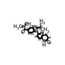 CC(C)c1nc2cc(C(=O)N(C)C)ccc2n1-c1ccc2c(n1)CCC(=O)N2